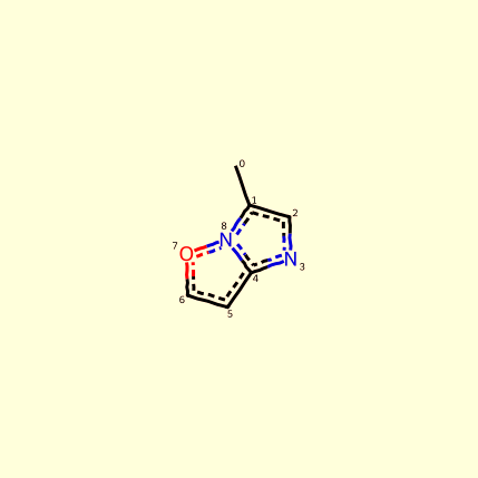 Cc1cnc2ccon12